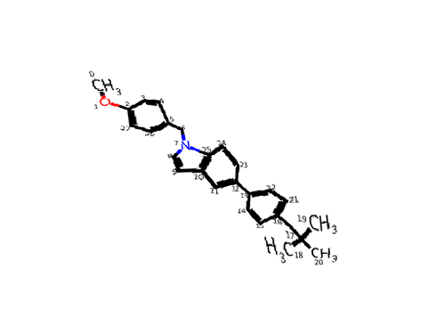 COc1ccc(Cn2ccc3cc(-c4ccc(C(C)(C)C)cc4)ccc32)cc1